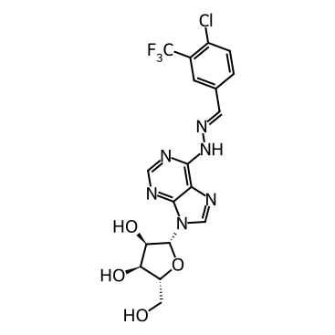 OC[C@H]1O[C@@H](n2cnc3c(N/N=C/c4ccc(Cl)c(C(F)(F)F)c4)ncnc32)[C@H](O)[C@@H]1O